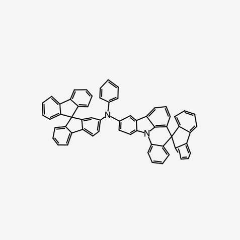 c1ccc(N(c2ccc3c(c2)C2(c4ccccc4-c4ccccc42)c2ccccc2-3)c2ccc3c(c2)c2cccc4c2n3-c2ccccc2C42c3ccccc3-c3ccccc32)cc1